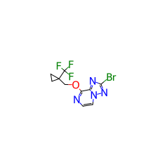 FC(F)(F)C1(COc2nccn3nc(Br)nc23)CC1